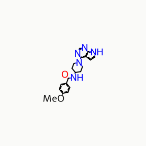 COc1ccc(C(=O)NC2CCN(c3ncnc4[nH]ccc34)CC2)cc1